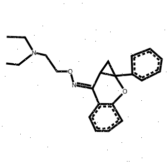 CCN(CC)CCON=C1c2ccccc2OC2(c3ccccc3)CC12